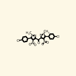 Cn1nc(C(=O)c2nn(C)c(-c3ccc(Cl)cc3)c2[N+](=O)[O-])c([N+](=O)[O-])c1-c1ccc(Cl)cc1